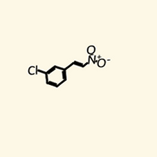 O=[N+]([O-])C=Cc1cccc(Cl)c1